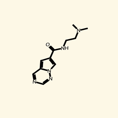 CN(C)CCNC(=O)c1cc2cncnn2c1